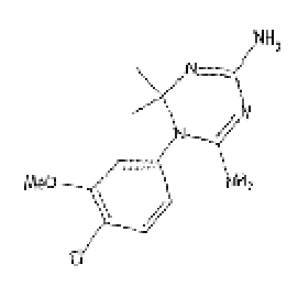 COc1cc(N2C(N)=NC(N)=NC2(C)C)ccc1Cl